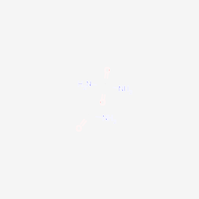 C=CC(N)=O.NS(N)(=O)=O